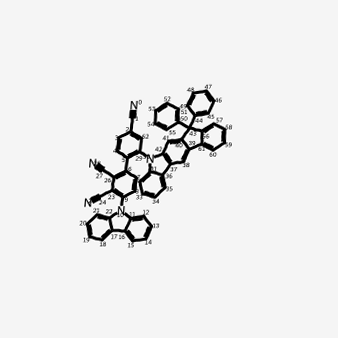 N#Cc1ccc(-c2ccc(-n3c4ccccc4c4ccccc43)c(C#N)c2C#N)c(-n2c3ccccc3c3cc4c(cc32)C(c2ccccc2)(c2ccccc2)c2ccccc2-4)c1